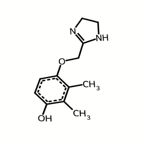 Cc1c(O)ccc(OCC2=NCCN2)c1C